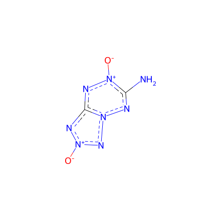 Nc1nn2n[n+]([O-])nc2n[n+]1[O-]